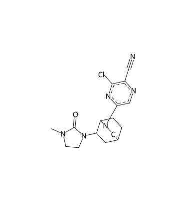 CN1CCN(C2CC3CCC2N(c2cnc(C#N)c(Cl)n2)C3)C1=O